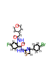 O=C(CC1CCOCC1)Nc1cc(F)ccc1C(=O)Nc1nc(-c2ccc(Br)cc2)cs1